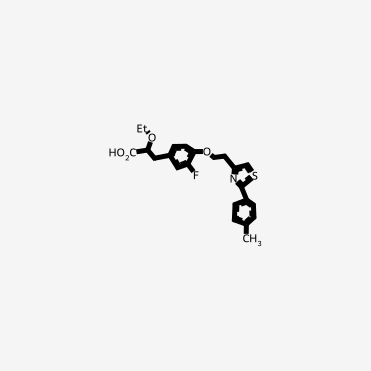 CCOC(Cc1ccc(OCCc2csc(-c3ccc(C)cc3)n2)c(F)c1)C(=O)O